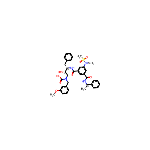 COc1cccc(CN(C[C@@H](O)[C@H](Cc2ccccc2)NC(=O)c2cc(C(=O)N[C@H](C)c3ccccc3)cc(N(C)S(C)(=O)=O)c2)C(=O)O)c1